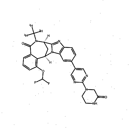 [2H]C([2H])([2H])N1C(=O)c2cccc(OC(F)F)c2[C@H]2C[C@@H]1c1nc3ccc(-c4cnc(N5CCNC(=O)C5)nc4)cc3n12